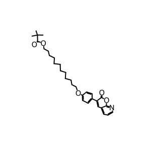 CC(C)(C)C(=O)OCCCCCCCCCCCCOc1ccc(-c2cc3cccnc3oc2=O)cc1